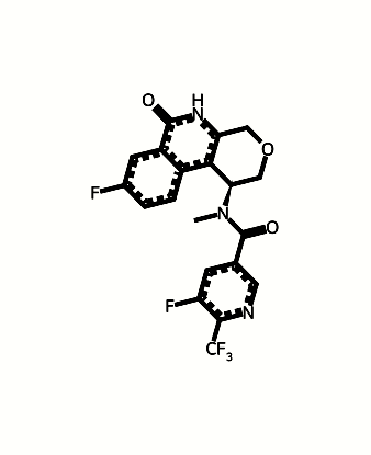 CN(C(=O)c1cnc(C(F)(F)F)c(F)c1)[C@@H]1COCc2[nH]c(=O)c3cc(F)ccc3c21